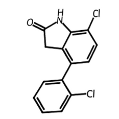 O=C1Cc2c(-c3ccccc3Cl)ccc(Cl)c2N1